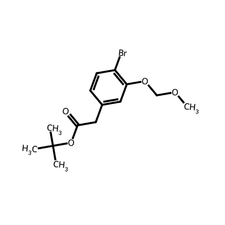 COCOc1cc(CC(=O)OC(C)(C)C)ccc1Br